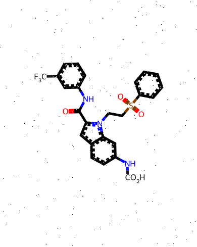 O=C(O)Nc1ccc2cc(C(=O)Nc3cccc(C(F)(F)F)c3)n(CCS(=O)(=O)c3ccccc3)c2c1